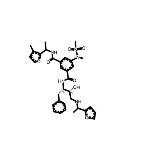 Cc1ccsc1C(C)NC(=O)c1cc(C(=O)N[C@@H](Cc2ccccc2)[C@H](O)CNC(C)c2ccco2)cc(N(C)S(C)(=O)=O)c1